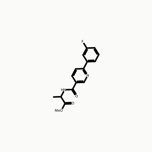 COC(=O)C(C)NC(=O)c1ccc(-c2cccc(F)c2)nc1